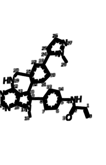 C=CC(=O)Nc1ccc(-c2c3c4c(ncnc4n2C)NCc2cc(-c4ccnn4C)ccc2-3)cc1